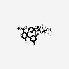 CC(C)(C)OC(=O)N[C@@]1(C)CCN(c2c(C(=O)O)ncc(Cl)c2-c2cc(F)cc(F)c2)C1